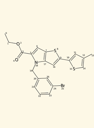 CCOC(=O)c1cc2sc(-c3cc(C)cs3)cc2n1Cc1cccc(Br)c1